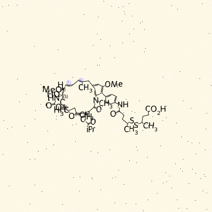 COc1cc2cc(c1-c1ccc(NC(=O)CCC(C)SSC(C)CCC(=O)O)cc1)N(C)C(=O)C[C@H](OC(=O)C(C)C)[C@@]1(C)CC(C)(O1)[C@@H]1C[C@@](O)(NC(=O)O1)[C@H](OC)/C=C/C=C(\C)C2